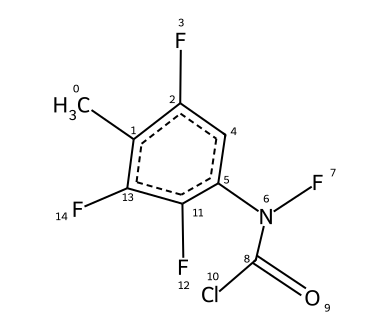 Cc1c(F)cc(N(F)C(=O)Cl)c(F)c1F